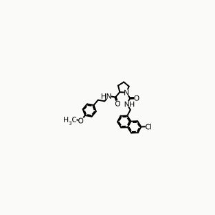 COc1ccc(CCNC(=O)C2CCCN2C(=O)NCc2cccc3ccc(Cl)cc23)cc1